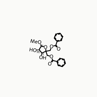 CO[C@H]1OC(COC(=O)c2ccccc2)(COC(=O)c2ccccc2)[C@@H](O)[C@H]1O